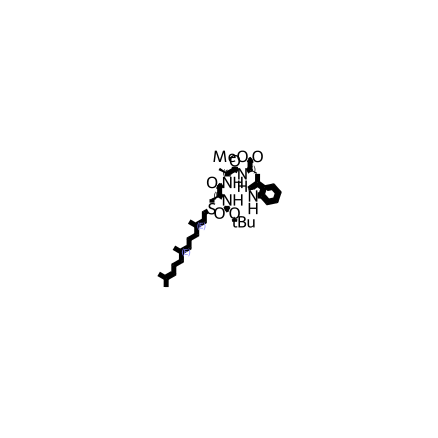 COC(=O)[C@H](Cc1c[nH]c2ccccc12)NC(=O)[C@H](C)NC(=O)[C@H](CSC/C=C(\C)CC/C=C(\C)CCC=C(C)C)NC(=O)OC(C)(C)C